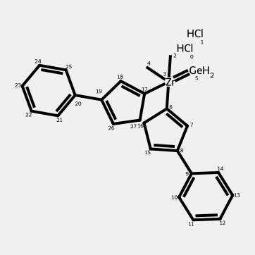 Cl.Cl.[CH3][Zr]([CH3])(=[GeH2])([C]1=CC(c2ccccc2)=CC1)[C]1=CC(c2ccccc2)=CC1